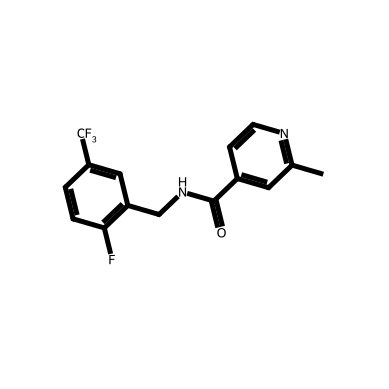 Cc1cc(C(=O)NCc2cc(C(F)(F)F)ccc2F)ccn1